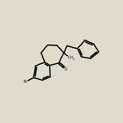 CC1(Cc2ccccc2)CCCc2cc(Br)ccc2C1=O